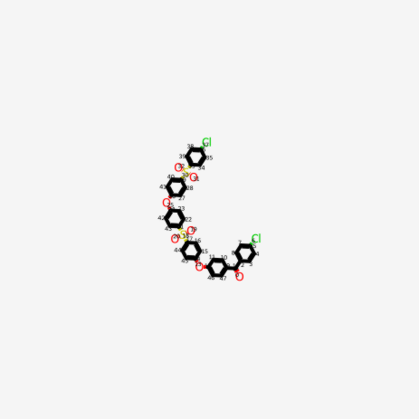 O=C(c1ccc(Cl)cc1)c1ccc(Oc2ccc(S(=O)(=O)c3ccc(Oc4ccc(S(=O)(=O)c5ccc(Cl)cc5)cc4)cc3)cc2)cc1